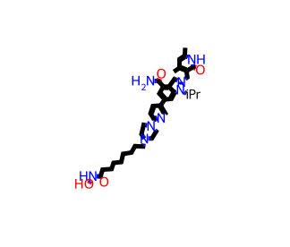 Cc1cc(C)c(CN2Cc3c(C(N)=O)cc(-c4ccc(N5CCN(CCCCCCCCC(=O)NO)CC5)nc4)cc3N2C(C)C)c(=O)[nH]1